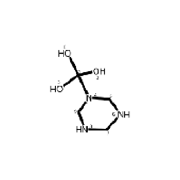 OC(O)(O)N1CNCNC1